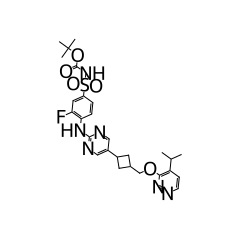 CC(C)c1ccnnc1OCC1CC(c2cnc(Nc3ccc(S(=O)(=O)NC(=O)OC(C)(C)C)cc3F)nc2)C1